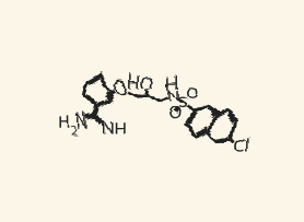 N=C(N)c1cccc(OCC(O)CNS(=O)(=O)c2ccc3cc(Cl)ccc3c2)c1